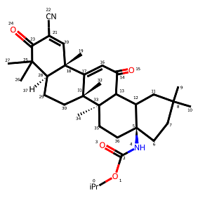 CC(C)OC(=O)N[C@]12CCC(C)(C)CC1C1C(=O)C=C3[C@@]4(C)C=C(C#N)C(=O)C(C)(C)[C@@H]4CC[C@@]3(C)[C@]1(C)CC2